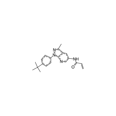 C=CC(=O)Nc1cnc2c(c1)c(C)nn2-c1ccc(C(C)(C)C)cc1